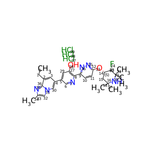 CCc1cc(-c2cnc(-c3ccc(O[C@H]4CC(C)(C)NC(C)(C)[C@H]4F)nn3)c(O)c2)cn2cc(C)nc12.Cl.Cl.Cl